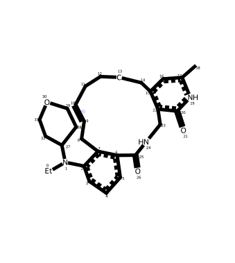 CCN(c1cccc2c1C/C=C/CCCCc1cc(C)[nH]c(=O)c1CNC2=O)C1CCOCC1